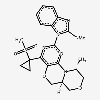 CNc1nc2ccccc2n1-c1nc2c(c(C3(S(C)(=O)=O)CC3)n1)OC[C@@H]1COC[C@@H](C)N21